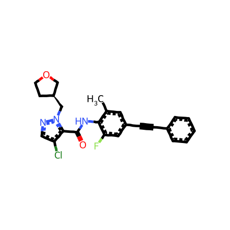 Cc1cc(C#Cc2ccccc2)cc(F)c1NC(=O)c1c(Cl)cnn1C[C@H]1CCOC1